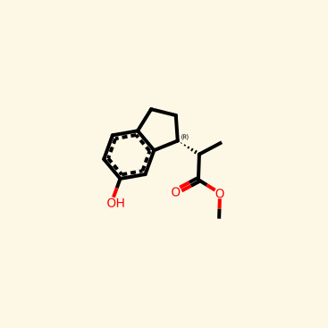 COC(=O)C(C)[C@H]1CCc2ccc(O)cc21